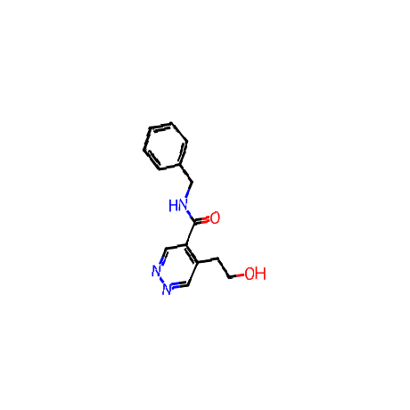 O=C(NCc1ccccc1)c1cnncc1CCO